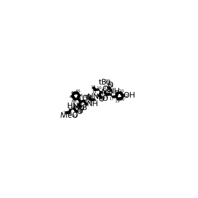 B[C@H](NC(=O)CNC(=O)[C@@H](CC=C)NC(=O)[C@H](Cc1ccc(O)cc1)NC(=O)OC(C)(C)C)C(=O)C(C(=O)N[C@H](CC=C)C(=O)OC)c1ccccc1